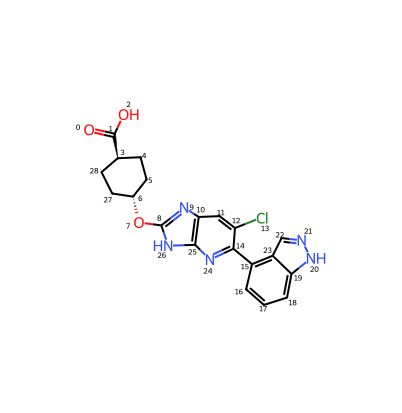 O=C(O)[C@H]1CC[C@H](Oc2nc3cc(Cl)c(-c4cccc5[nH]ncc45)nc3[nH]2)CC1